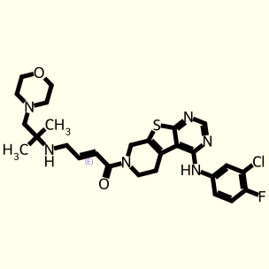 CC(C)(CN1CCOCC1)NC/C=C/C(=O)N1CCc2c(sc3ncnc(Nc4ccc(F)c(Cl)c4)c23)C1